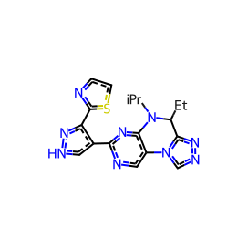 CCC1c2nncn2-c2cnc(-c3c[nH]nc3-c3nccs3)nc2N1C(C)C